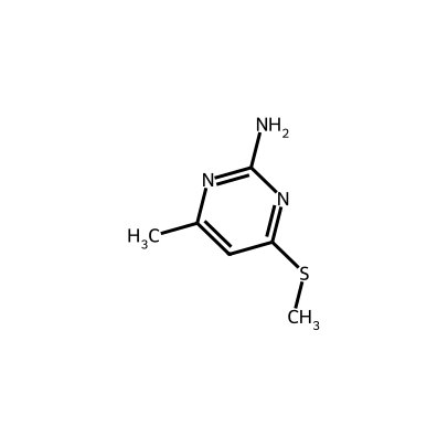 CSc1cc(C)nc(N)n1